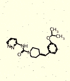 CC(C)Oc1cccc(C=C2CCN(C(=O)Nc3cccnn3)CC2)c1